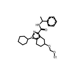 CCOCOC1CCc2c(c(C(=O)NC(C)c3ccccc3)nn2C2CCCCC2)C1